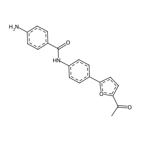 CC(=O)c1ccc(-c2ccc(NC(=O)c3ccc(N)cc3)cc2)o1